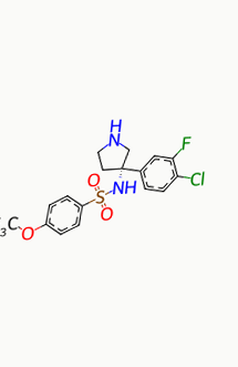 O=S(=O)(N[C@]1(c2ccc(Cl)c(F)c2)CCNC1)c1ccc(OC(F)(F)F)cc1